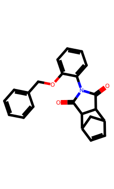 O=C1C2C3C=CC(C3)C2C(=O)N1c1ccccc1OCc1ccccc1